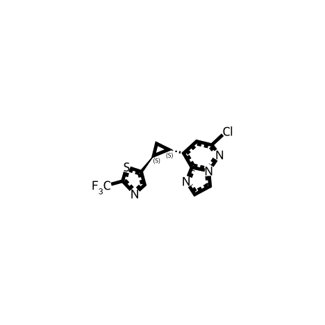 FC(F)(F)c1ncc([C@H]2C[C@@H]2c2cc(Cl)nn3ccnc23)s1